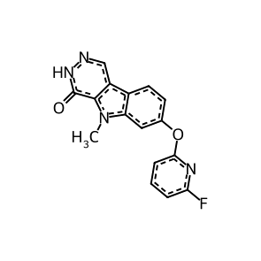 Cn1c2cc(Oc3cccc(F)n3)ccc2c2cn[nH]c(=O)c21